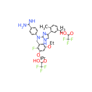 CCOc1cc(CN(c2ccc(C(=N)N)cc2)c2nc(-c3cc(C)ccc3C)c[nH]2)c(F)c(OC(C)C)c1.O=C(O)C(F)(F)F.O=C(O)C(F)(F)F